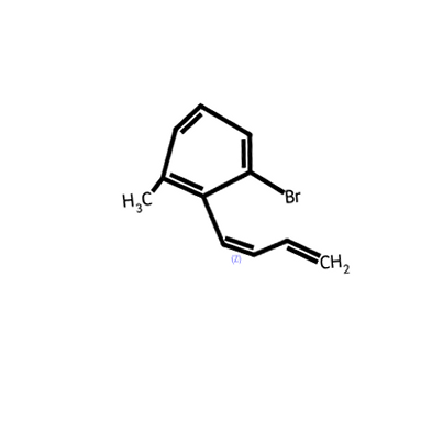 C=C/C=C\c1c(C)cccc1Br